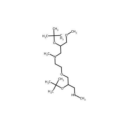 CNCC(COCCN(C)CC(COC)OC(C)(C)C)OC(C)(C)C